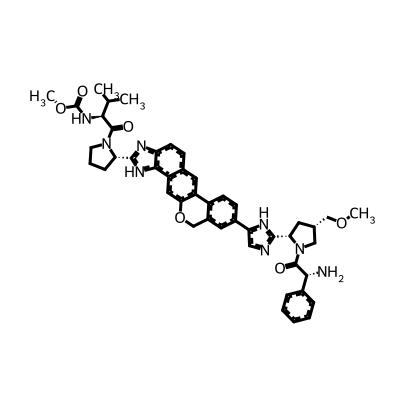 COC[C@H]1C[C@@H](c2ncc(-c3ccc4c(c3)COc3cc5c(ccc6nc([C@@H]7CCCN7C(=O)[C@@H](NC(=O)OC)C(C)C)[nH]c65)cc3-4)[nH]2)N(C(=O)[C@H](N)c2ccccc2)C1